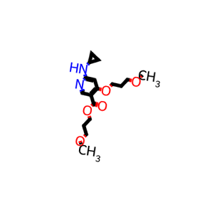 COCCCOC(=O)c1cnc(NC2CC2)cc1OCCCOC